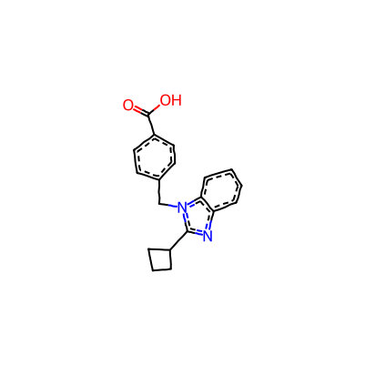 O=C(O)c1ccc(Cn2c(C3CCC3)nc3ccccc32)cc1